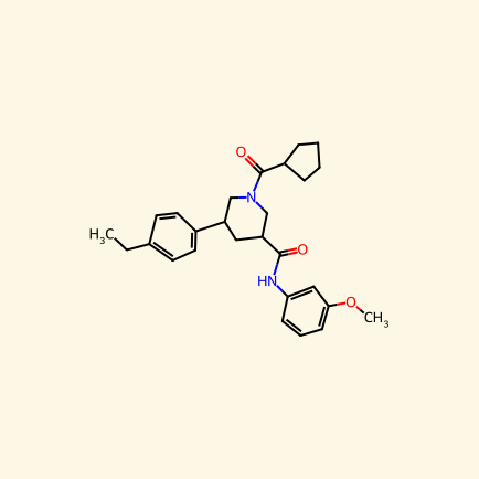 CCc1ccc(C2CC(C(=O)Nc3cccc(OC)c3)CN(C(=O)C3CCCC3)C2)cc1